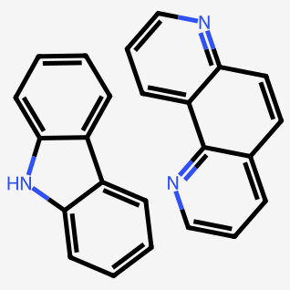 c1ccc2c(c1)[nH]c1ccccc12.c1cnc2c(c1)ccc1ncccc12